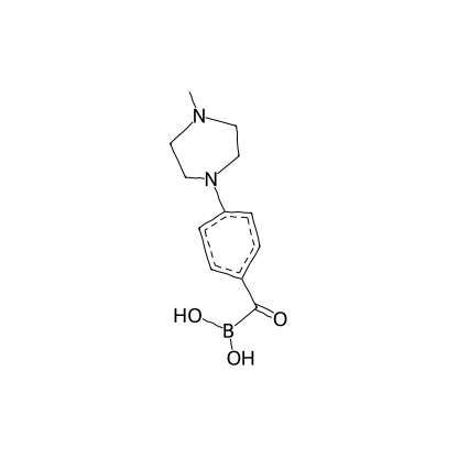 CN1CCN(c2ccc(C(=O)B(O)O)cc2)CC1